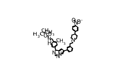 Cc1cc(-c2ncnn3cc(-c4cccc(CCN5CCC(c6ccc([N+](=O)[O-])cc6)CC5)c4)cc23)ccc1CNC(=O)OC(C)(C)C